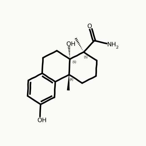 C[C@]1(C(N)=O)CCC[C@]2(C)c3cc(O)ccc3CC[C@@]12O